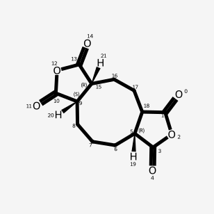 O=C1OC(=O)[C@@H]2CCC[C@@H]3C(=O)OC(=O)[C@@H]3CCC12